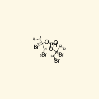 CCC(Br)(CBr)O[PH](=O)OC(Br)(CC)CBr